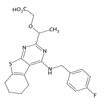 CC(OCC(=O)O)c1nc(NCc2ccc(F)cc2)c2c3c(sc2n1)CCCC3